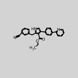 CCOC(=O)c1c(-c2ccc(-c3ccccn3)cc2)c[nH]c1Cc1cccc(C#N)c1